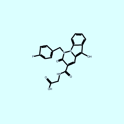 O=C(O)CNC(=O)c1cc2c(O)c3ccccc3n2n(Cc2ccc(F)cc2)c1=O